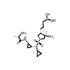 C[C@H](N)C(=O)N[C@@H]1C[C@H]1N(C1CC1)S(=O)(=O)N1C[C@H](CCCB(O)O)[C@@](C)(N)C1